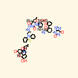 C=CCC1(C(C)CC)C(=O)NC(=O)NC1=O.CC(=O)Nc1ccc(O)cc1.CC(CN1c2ccccc2Sc2ccccc21)N(C)C.COc1cccc([C@@]2(O)CCCC[C@@H]2CN(C)C)c1.Cn1c(=O)c2c(ncn2C)n(C)c1=O.O=C1CC[C@@]2(O)[C@H]3Cc4ccc(O)c5c4[C@@]2(CCN3CC2CC2)[C@H]1O5